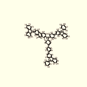 CC1(C)c2cc(N(c3ccc(-c4ccc(-c5ccc6c(c5)c5ccccc5n6-c5ccccc5)cc4)cc3)c3ccc(-c4ccc5c(c4)c4ccccc4n5-c4ccccc4)cc3)ccc2-c2ccc(-n3c4ccccc4c4ccccc43)cc21